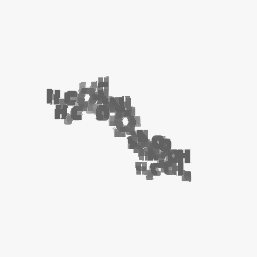 Cc1ccc(NC(=O)Nc2ccc(-c3nc(C(=O)NC(C(=O)O)C(C)C)cs3)cc2)cc1C